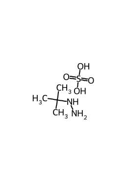 CC(C)(C)NN.O=S(=O)(O)O